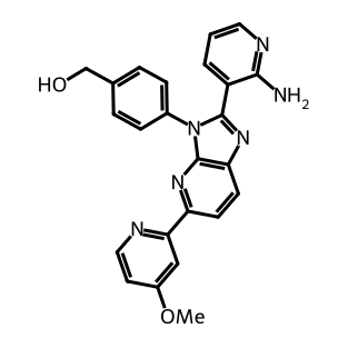 COc1ccnc(-c2ccc3nc(-c4cccnc4N)n(-c4ccc(CO)cc4)c3n2)c1